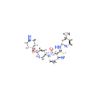 Cc1nsc(Nc2cc(C#N)ccn2)c1C(=O)Nc1ccc(OC2CCNCC2)nc1